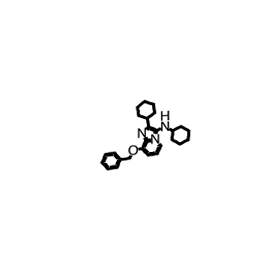 c1ccc(COc2cccn3c(NC4CCCCC4)c(C4CCCCC4)nc23)cc1